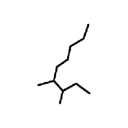 CCCCCC(C)[C](C)CC